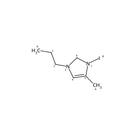 CCCN1C=C(C)N(I)C1